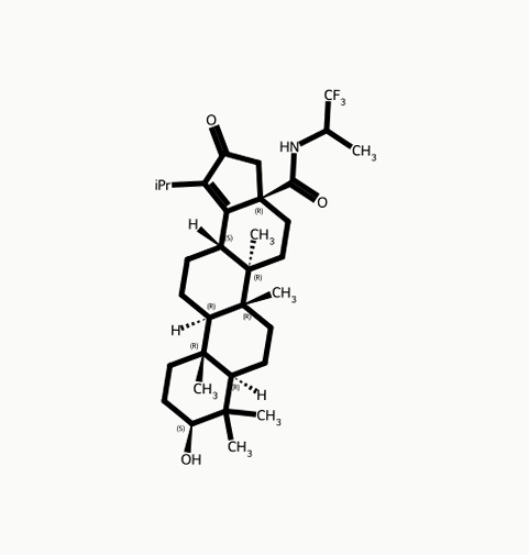 CC(C)C1=C2[C@H]3CC[C@@H]4[C@@]5(C)CC[C@H](O)C(C)(C)[C@@H]5CC[C@@]4(C)[C@]3(C)CC[C@@]2(C(=O)NC(C)C(F)(F)F)CC1=O